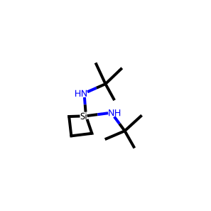 CC(C)(C)N[Si]1(NC(C)(C)C)CCC1